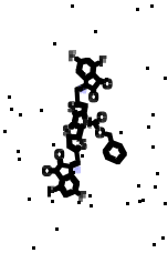 O=C1C(=O)c2c(F)cc(F)cc2/C1=C/c1cc2c(s1)c1sc3cc(/C=C4\C(=O)C(=O)c5c(F)cc(F)cc54)sc3c1n2C(=O)OCc1ccccc1